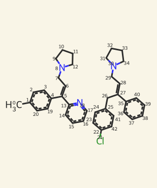 Cc1ccc(/C(=C\CN2CCCC2)c2ccccn2)cc1.Clc1ccc(C/C(=C\CN2CCCC2)c2ccccc2)cc1